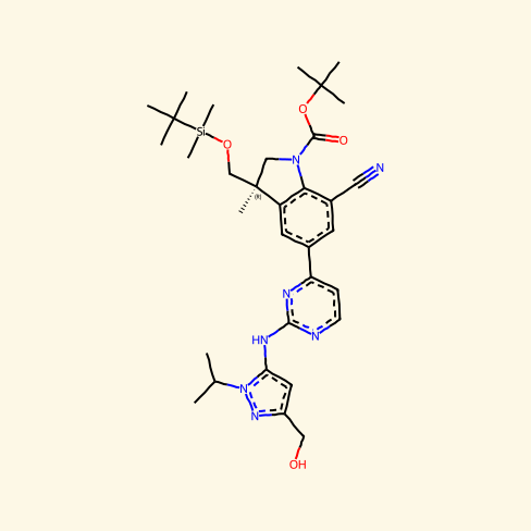 CC(C)n1nc(CO)cc1Nc1nccc(-c2cc(C#N)c3c(c2)[C@@](C)(CO[Si](C)(C)C(C)(C)C)CN3C(=O)OC(C)(C)C)n1